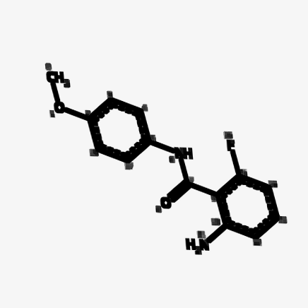 COc1ccc(NC(=O)c2c(N)cccc2F)cc1